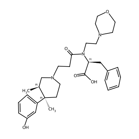 C[C@H]1CN(CCC(=O)N(CCN2CCOCC2)[C@@H](Cc2ccccc2)C(=O)O)CC[C@@]1(C)c1cccc(O)c1